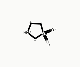 O=S1(=O)CCNC1